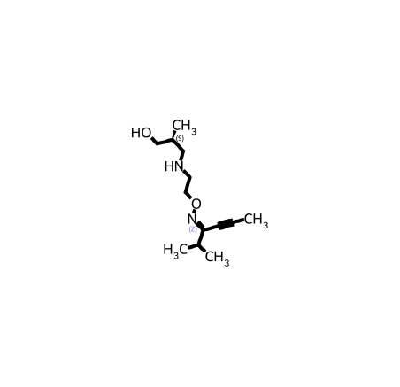 CC#C/C(=N\OCCNC[C@H](C)CO)C(C)C